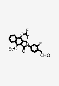 CCOc1c2c(c(OC(F)F)c3ccccc13)CN(c1ccc(CC=O)c(F)c1)C2=O